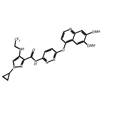 COc1cc2nccc(Oc3ccc(NC(=O)c4nn(C5CC5)cc4NCC(F)(F)F)nn3)c2cc1OC